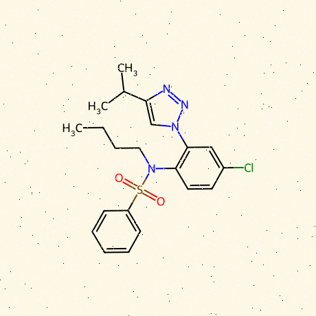 CCCCN(c1ccc(Cl)cc1-n1cc(C(C)C)nn1)S(=O)(=O)c1ccccc1